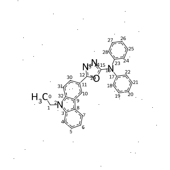 CCn1c2ccccc2c2cc(-c3nnc(N(c4ccccc4)c4ccccc4)o3)ccc21